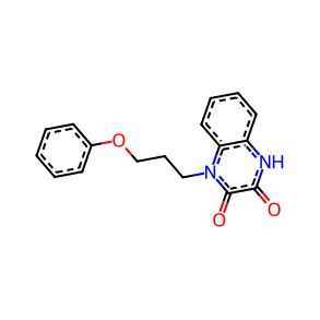 O=c1[nH]c2ccccc2n(CCCOc2ccccc2)c1=O